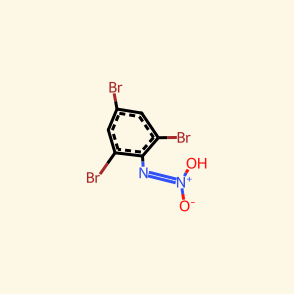 [O-]/[N+](O)=N/c1c(Br)cc(Br)cc1Br